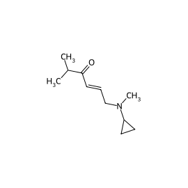 CC(C)C(=O)/C=C/CN(C)C1CC1